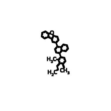 C=C/C=c1/c(C)c(-c2ccc(-c3ccc4oc5ccccc5c4c3)c3ccccc23)cc/c1=C/C